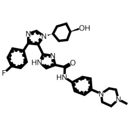 CN1CCN(c2ccc(NC(=O)c3c[nH]c(-c4c(-c5ccc(F)cc5)ncn4[C@H]4CC[C@H](O)CC4)n3)cc2)CC1